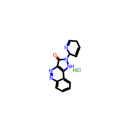 Cl.O=c1c2nnc3ccccc3c2[nH]n1C1C=CCC=N1